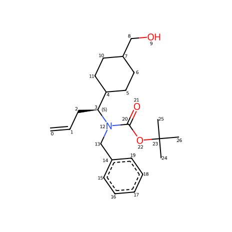 C=CC[C@@H](C1CCC(CO)CC1)N(Cc1ccccc1)C(=O)OC(C)(C)C